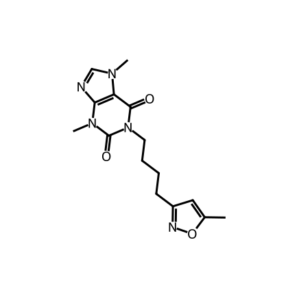 Cc1cc(CCCCn2c(=O)c3c(ncn3C)n(C)c2=O)no1